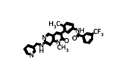 Cc1ccc(NC(=O)c2cccc(C(F)(F)F)c2)cc1-c1cc2cnc(NCc3cccnc3)cc2n(C)c1=O